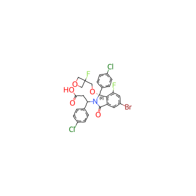 O=C(O)CC(c1ccc(Cl)cc1)N1C(=O)c2cc(Br)cc(F)c2[C@]1(OCC1(F)COC1)c1ccc(Cl)cc1